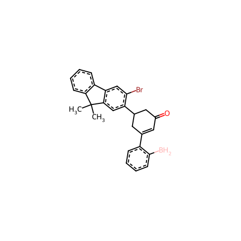 Bc1ccccc1C1=CC(=O)CC(c2cc3c(cc2Br)-c2ccccc2C3(C)C)C1